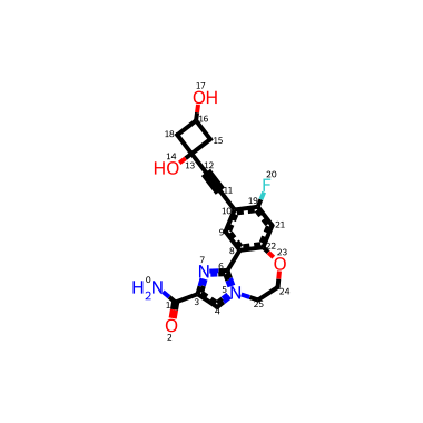 NC(=O)c1cn2c(n1)-c1cc(C#CC3(O)CC(O)C3)c(F)cc1OCC2